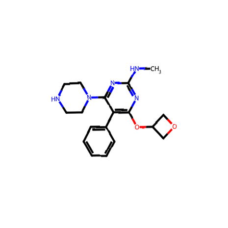 CNc1nc(OC2COC2)c(-c2ccccc2)c(N2CCNCC2)n1